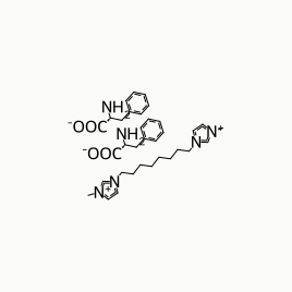 C[n+]1ccn(CCCCCCCCn2cc[n+](C)c2)c1.N[C@@H](Cc1ccccc1)C(=O)[O-].N[C@@H](Cc1ccccc1)C(=O)[O-]